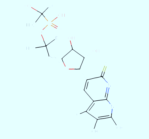 CCC(C)(C[C@H]1O[C@@H](c2cc3c(C)c(C)c(C)[nH]c-3nc2=S)[C@@H](O)C1O)OP(=O)(O)C(C)(O)CC